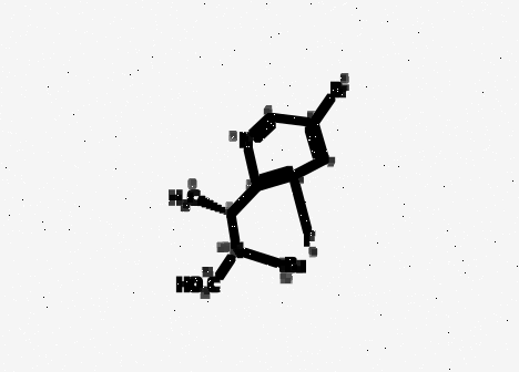 C[C@H](c1ncc(Br)cc1F)N(C(=O)O)C(C)(C)C